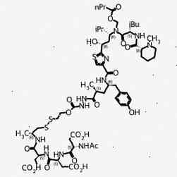 CCCC(=O)OCN(C(=O)[C@@H](NC(=O)[C@H]1CCCCN1C)C(C)CC)[C@H](C[C@@H](O)c1nc(C(=O)N[C@@H](Cc2ccc(O)cc2)C[C@H](C)C(=O)NNC(=O)OCCSSC[C@@H](C)NC(=O)[C@H](CC(=O)O)NC(=O)[C@H](CC(=O)O)NC(=O)[C@H](CC(=O)O)NC(C)=O)cs1)C(C)C